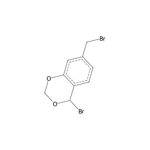 BrCc1ccc2c(c1)OCOC2Br